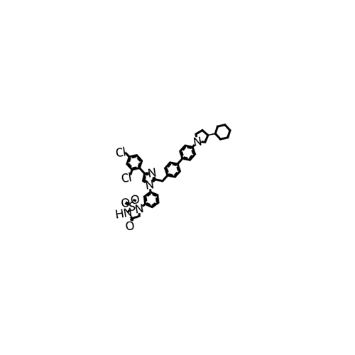 O=C1CN(c2cccc(-n3cc(-c4ccc(Cl)cc4Cl)nc3Cc3ccc(-c4ccc(N5CC[C@@H](C6CCCCC6)C5)cc4)cc3)c2)S(=O)(=O)N1